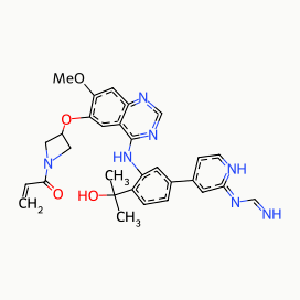 C=CC(=O)N1CC(Oc2cc3c(Nc4cc(-c5cc[nH]/c(=N\C=N)c5)ccc4C(C)(C)O)ncnc3cc2OC)C1